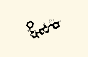 Cc1cnc(NC2CCCCC2)nc1-c1cc2n(c1)CCN([C@H](CO)c1cccc(Cl)c1)C2=O